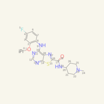 CC(C)Oc1cc(F)ccc1Nc1ncnc2sc(C(=O)NC3CCN(C)CC3)nc12